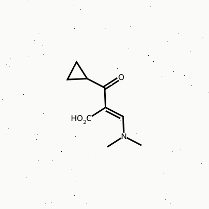 CN(C)/C=C(\C(=O)O)C(=O)C1CC1